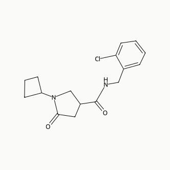 O=C(NCc1ccccc1Cl)C1CC(=O)N(C2CCC2)C1